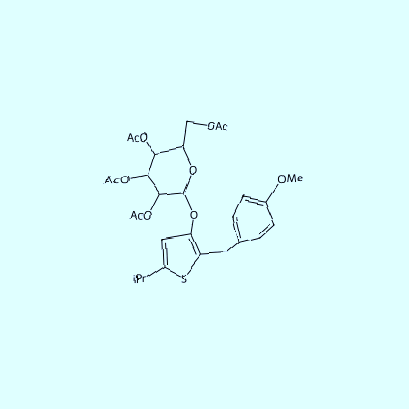 COc1ccc(Cc2sc(C(C)C)cc2OC2OC(COC(C)=O)C(OC(C)=O)C(OC(C)=O)C2OC(C)=O)cc1